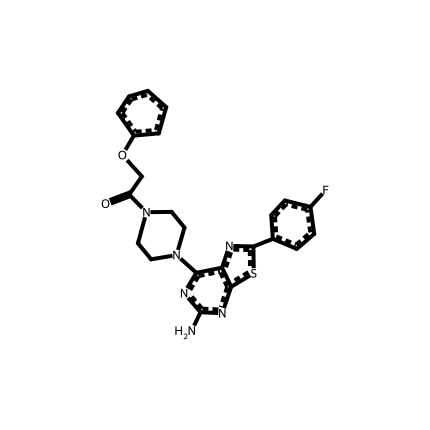 Nc1nc(N2CCN(C(=O)COc3ccccc3)CC2)c2nc(-c3ccc(F)cc3)sc2n1